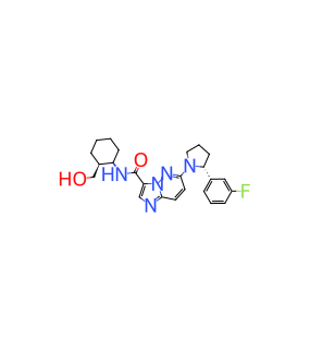 O=C(N[C@@H]1CCCC[C@@H]1CO)c1cnc2ccc(N3CCC[C@@H]3c3cccc(F)c3)nn12